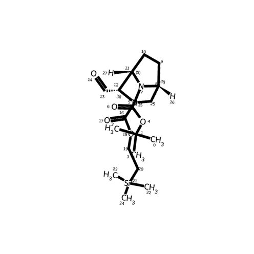 CC(C)(C)OC(=O)N1[C@@H]2CC[C@H]1[C@@H](C=O)N(C(=O)OCC[Si](C)(C)C)C2